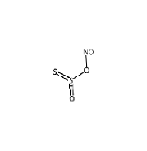 O=NO[SH](=O)=S